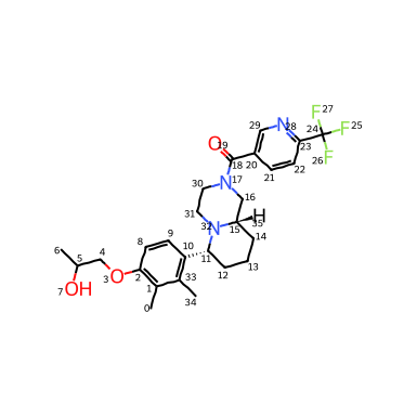 Cc1c(OCC(C)O)ccc([C@H]2CCC[C@H]3CN(C(=O)c4ccc(C(F)(F)F)nc4)CCN32)c1C